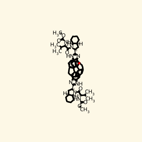 COC(=O)N[C@H](C(=O)N1[C@H](c2nc3cc(-c4cc5ccc4CCc4ccc(c(-c6ccc7[nH]c([C@@H]8C[C@@H]9CCCC[C@@H]9N8C(=O)[C@H](NC(=O)OC)C(C)C)nc7c6)c4)CC5)ccc3[nH]2)C[C@@H]2CCCC[C@@H]21)C(C)C